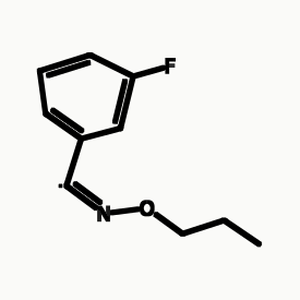 CCCO/N=[C]\c1cccc(F)c1